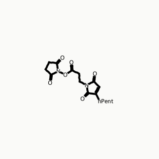 CCCCCC1=CC(=O)N(CCC(=O)ON2C(=O)CCC2=O)C1=O